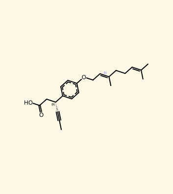 CC#C[C@H](CC(=O)O)c1ccc(OC/C=C(\C)CCC=C(C)C)cc1